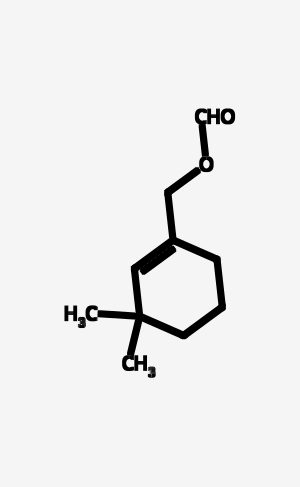 CC1(C)C=C(COC=O)CCC1